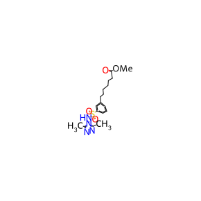 COC(=O)CCCCCCc1cccc(S(=O)(=O)Nn2c(C)nnc2C)c1